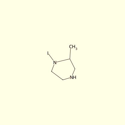 CC1CNCCN1I